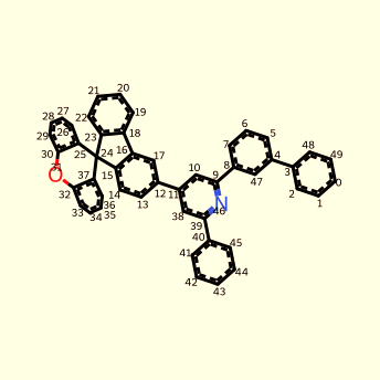 c1ccc(-c2cccc(-c3cc(-c4ccc5c(c4)-c4ccccc4C54c5ccccc5Oc5ccccc54)cc(-c4ccccc4)n3)c2)cc1